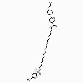 CCCN1CCN(c2ccc(C(=O)NCCCCCCCCCCCCCCCCCCOS(=O)(=O)c3ccc(C)cc3)cn2)CC1